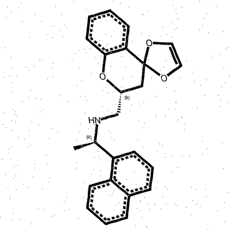 C[C@@H](NC[C@H]1CC2(OC=CO2)c2ccccc2O1)c1cccc2ccccc12